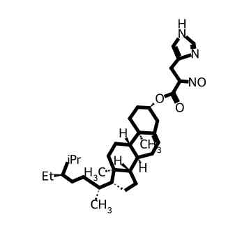 CC[C@H](CC[C@@H](C)[C@H]1CC[C@H]2[C@@H]3CC=C4C[C@@H](OC(=O)C(Cc5c[nH]cn5)N=O)CC[C@]4(C)[C@H]3CC[C@]12C)C(C)C